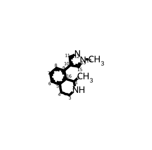 CC1NCCc2cccc(-c3cnn(C)c3)c21